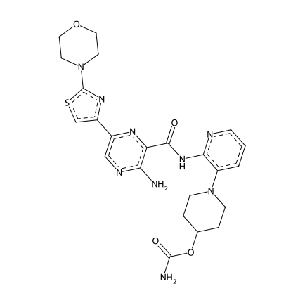 NC(=O)OC1CCN(c2cccnc2NC(=O)c2nc(-c3csc(N4CCOCC4)n3)cnc2N)CC1